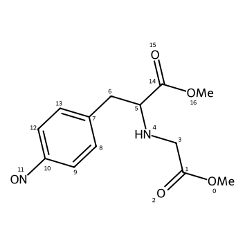 COC(=O)CNC(Cc1ccc(N=O)cc1)C(=O)OC